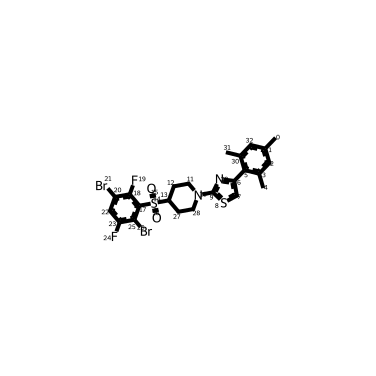 Cc1cc(C)c(-c2csc(N3CCC(S(=O)(=O)c4c(F)c(Br)cc(F)c4Br)CC3)n2)c(C)c1